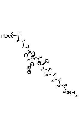 CCCCCCCCCCCCCCCC(=O)O[C@@H](COP=O)COC(=O)CCCCCCCCCN